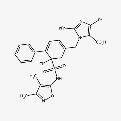 CCCc1nc(CC)c(C(=O)O)n1CC1=CC=C(c2ccccc2)C(Cl)(S(=O)(=O)Nc2onc(C)c2C)C1